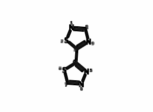 [c]1nsc(-c2nn[c]s2)n1